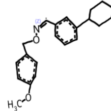 COc1ccc(CO/N=[C]\c2cccc(C3CCCCC3)c2)cc1